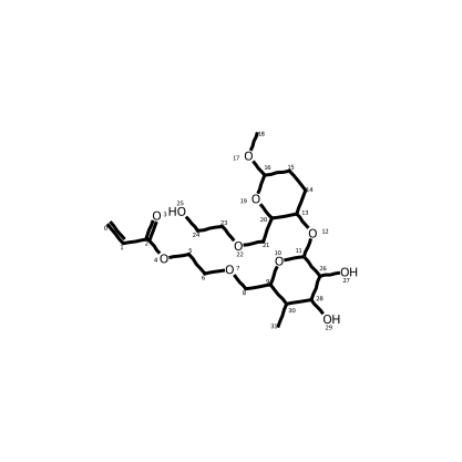 C=CC(=O)OCCOCC1OC(OC2CCC(OC)OC2COCCO)C(O)C(O)C1C